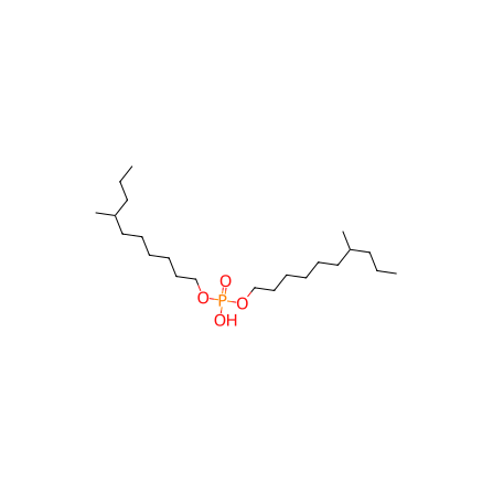 CCCC(C)CCCCCCOP(=O)(O)OCCCCCCC(C)CCC